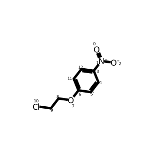 O=[N+]([O-])c1c[c]c(OCCCl)cc1